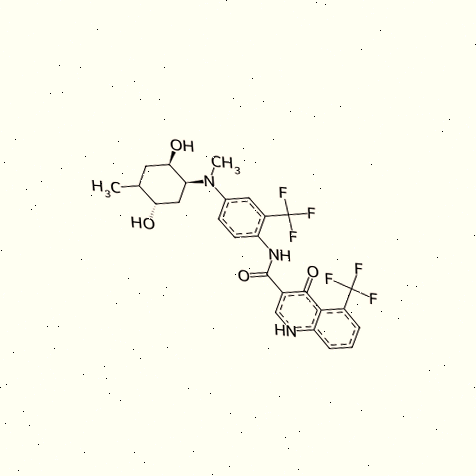 CC1C[C@@H](O)[C@@H](N(C)c2ccc(NC(=O)c3c[nH]c4cccc(C(F)(F)F)c4c3=O)c(C(F)(F)F)c2)C[C@@H]1O